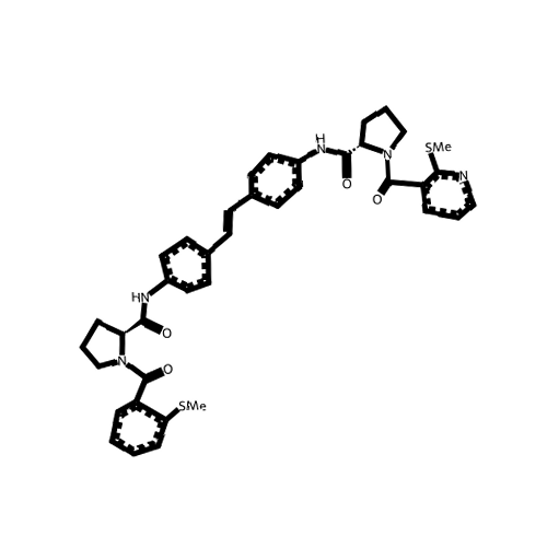 CSc1ccccc1C(=O)N1CCC[C@H]1C(=O)Nc1ccc(/C=C/c2ccc(NC(=O)[C@@H]3CCCN3C(=O)c3cccnc3SC)cc2)cc1